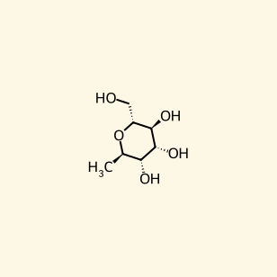 C[C@H]1O[C@H](CO)[C@@H](O)[C@H](O)[C@@H]1O